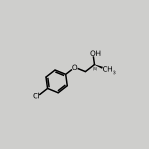 C[C@H](O)COc1ccc(Cl)cc1